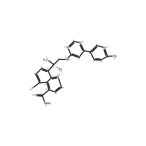 CC[C@](C)(CNc1cc(-c2ccc(C#N)nc2)ncn1)c1ccc(F)c2c(C(=O)NC)ccnc12